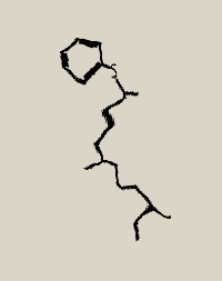 CCC(C)CCCC(C)CCC[C](C)Sc1ccccc1